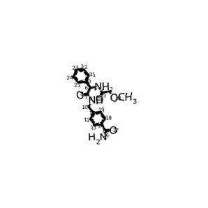 COCC(=O)NC(C(=O)NCc1ccc(C(N)=O)cc1)c1ccccc1